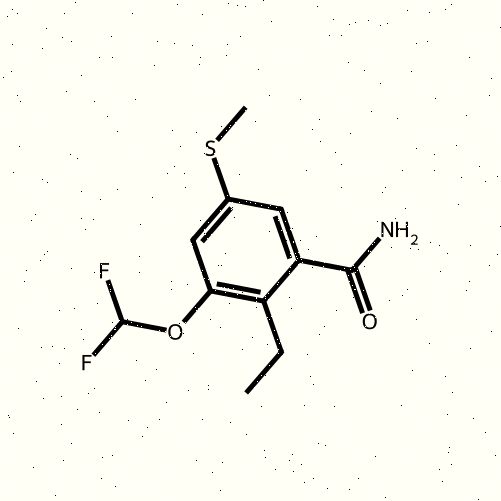 CCc1c(OC(F)F)cc(SC)cc1C(N)=O